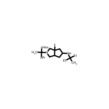 CCCCCCC(C)(CCC)N1CC2CC(NC(C)(CC)CC)CC2(F)C1